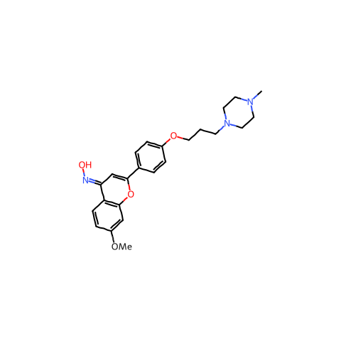 COc1ccc2/c(=N/O)cc(-c3ccc(OCCCN4CCN(C)CC4)cc3)oc2c1